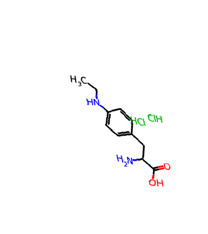 CCNc1ccc(CC(N)C(=O)O)cc1.Cl.Cl